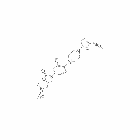 CC(=O)N(F)CC1CN(c2ccc(N3CCN(c4ccc([N+](=O)[O-])s4)CC3)c(F)c2)C(=O)O1